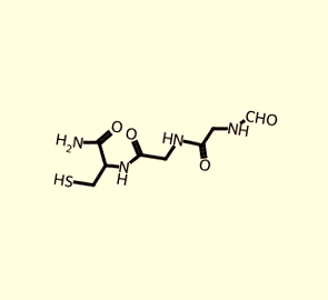 NC(=O)C(CS)NC(=O)CNC(=O)CNC=O